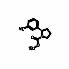 CC(C)(C)OC(=O)N1CCC[C@@H]1c1cccc(C#N)c1